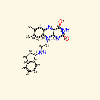 Cc1cc2nc3c(=O)[nH]c(=O)nc-3n(CCNC3CCc4ccccc43)c2cc1C